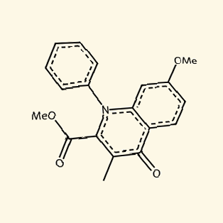 COC(=O)c1c(C)c(=O)c2ccc(OC)cc2n1-c1ccccc1